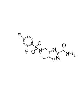 NC(=O)c1n[c]c2c(n1)CN(S(=O)(=O)c1ccc(F)cc1F)CC2